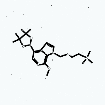 COc1ncc(B2OC(C)(C)C(C)(C)O2)c2ccn(COCC[Si](C)(C)C)c12